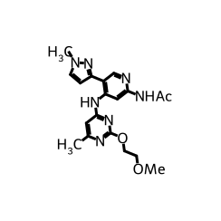 COCCOc1nc(C)cc(Nc2cc(NC(C)=O)ncc2-c2ccn(C)n2)n1